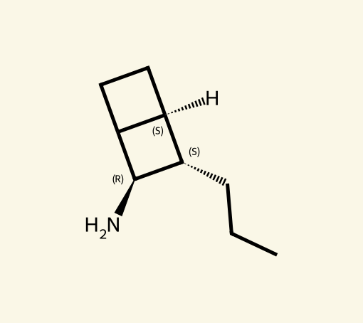 CCC[C@H]1[C@@H]2CCC2[C@@H]1N